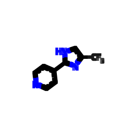 FC(F)(F)c1c[nH]c(-c2ccncc2)n1